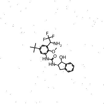 COc1c(NC(=O)N[C@@H]2Cc3ccccc3[C@@H]2O)cc(C(C)(C)C)cc1C(N)C(F)(F)F